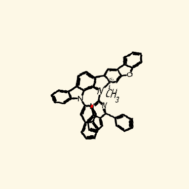 C[C@@]12C=c3oc4ccccc4c3=CC1c1ccc3c4ccccc4n(-c4ccc5ccccc5c4)c3c1N2c1nc(-c2ccccc2)c2ccccc2n1